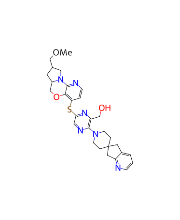 COCC1CC2COc3c(Sc4cnc(N5CCC6(CC5)Cc5cccnc5C6)c(CO)n4)ccnc3N2C1